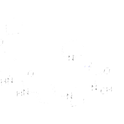 CN(C(=O)/C=C/c1ccccn1)C1CCN(c2ccc(NC(=O)Nc3ccc(OC4CCCC4)cc3)cc2)C1